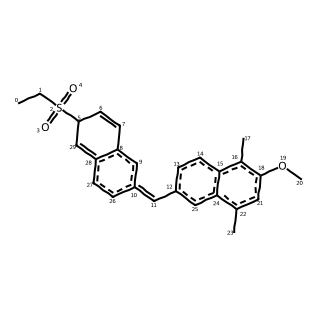 CCS(=O)(=O)C1C=Cc2c/c(=C\c3ccc4c(C)c(OC)cc(C)c4c3)ccc2=C1